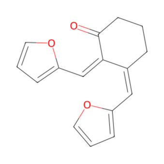 O=C1CCCC(=Cc2ccco2)C1=Cc1ccco1